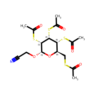 CC(=O)SC[C@H]1O[C@H](OCC#N)[C@H](SC(C)=O)[C@H](SC(C)=O)[C@@H]1SC(C)=O